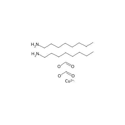 CCCCCCCCN.CCCCCCCCN.O=C[O-].O=C[O-].[Cu+2]